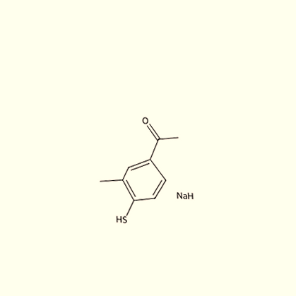 CC(=O)c1ccc(S)c(C)c1.[NaH]